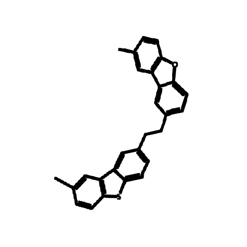 Cc1ccc2oc3ccc(CCc4ccc5sc6ccc(C)cc6c5c4)cc3c2c1